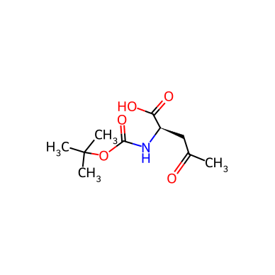 CC(=O)C[C@@H](NC(=O)OC(C)(C)C)C(=O)O